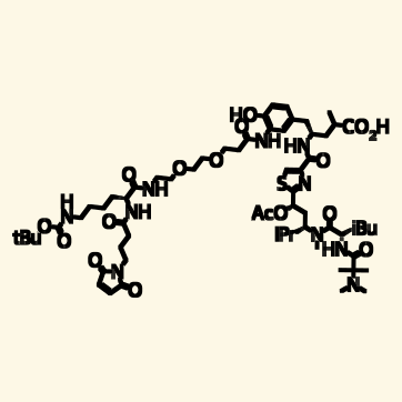 CC[C@H](C)[C@H](NC(=O)C(C)(C)N(C)C)C(=O)N(C)[C@H](C[C@@H](OC(C)=O)c1nc(C(=O)N[C@@H](Cc2ccc(O)c(NC(=O)CCOCCOCCNC(=O)[C@H](CCCCNC(=O)OC(C)(C)C)NC(=O)CCCN3C(=O)C=CC3=O)c2)CC(C)C(=O)O)cs1)C(C)C